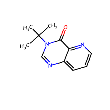 CC(C)(C)n1cnc2cccnc2c1=O